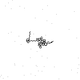 CC#CCOc1ccc(C[C@H](NC(=O)[C@@H](/C=C/CCCCCCC2(CCCCCCC)OCCO2)[C@@](O)(COC)C(=O)O)C(=O)OC)cc1